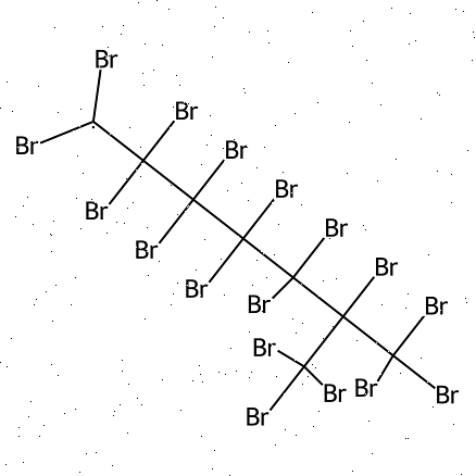 Br[C](Br)C(Br)(Br)C(Br)(Br)C(Br)(Br)C(Br)(Br)C(Br)(C(Br)(Br)Br)C(Br)(Br)Br